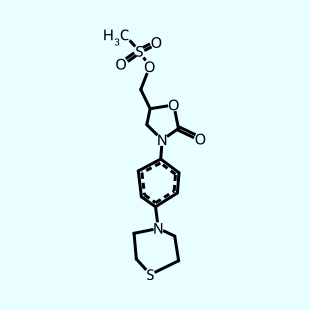 CS(=O)(=O)OCC1CN(c2ccc(N3CCSCC3)cc2)C(=O)O1